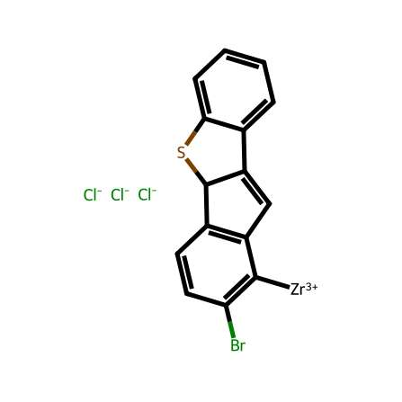 Brc1ccc2c([c]1[Zr+3])C=C1c3ccccc3SC12.[Cl-].[Cl-].[Cl-]